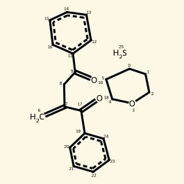 C1CCOCC1.C=C(CC(=O)c1ccccc1)C(=O)c1ccccc1.S